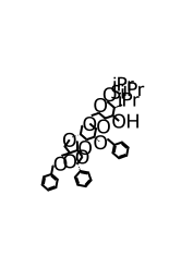 CC1O[C@@H](O[Si](C(C)C)(C(C)C)C(C)C)[C@@H](C)C(O)[C@H]1O[C@@H]1OC[C@@H](C)C(O[C@@]23COCC2(COCc2ccccc2)O[C@@H](c2ccccc2)O3)[C@H]1OCc1ccccc1